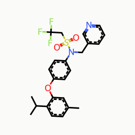 Cc1ccc(C(C)C)c(Oc2ccc(N(Cc3cccnc3)S(=O)(=O)CC(F)(F)F)cc2)c1